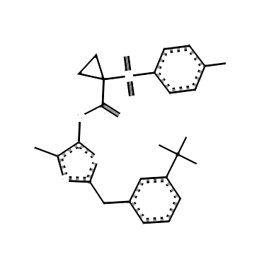 Cc1nc(Cc2cccc(C(F)(F)F)c2)sc1NC(=O)C1(S(=O)(=O)c2ccc(Cl)cc2)CC1